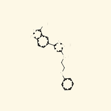 Cc1n[nH]c2ccc(-c3nnc(NCCNc4ccccc4)s3)cc12.Cl